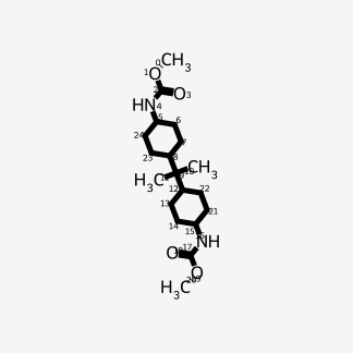 COC(=O)NC1CCC(C(C)(C)C2CCC(NC(=O)OC)CC2)CC1